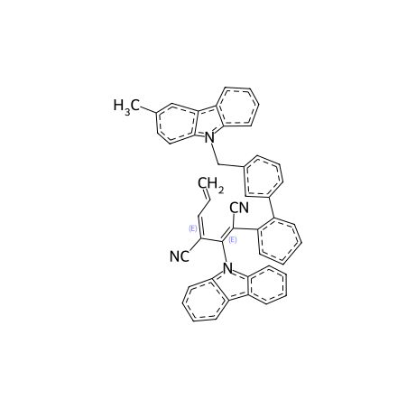 C=C/C=C(C#N)\C(=C(/C#N)c1ccccc1-c1cccc(Cn2c3ccccc3c3cc(C)ccc32)c1)n1c2ccccc2c2ccccc21